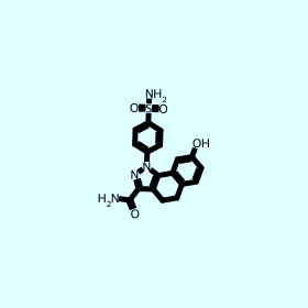 NC(=O)c1nn(-c2ccc(S(N)(=O)=O)cc2)c2c1CCc1ccc(O)cc1-2